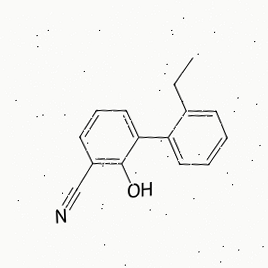 CCc1ccccc1-c1cccc(C#N)c1O